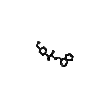 O=C(Nc1ccc(CBr)cc1)OCc1cccc2ccccc12